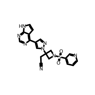 N#CCC1(n2cc(-c3ncnc4[nH]ccc34)cn2)CN(S(=O)(=O)c2cccnc2)C1